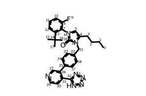 CCCCc1cn(-c2c(F)cccc2C(C)(C)C)c(=O)n1Cc1ccc(-c2cnccc2-c2nnn[nH]2)cc1